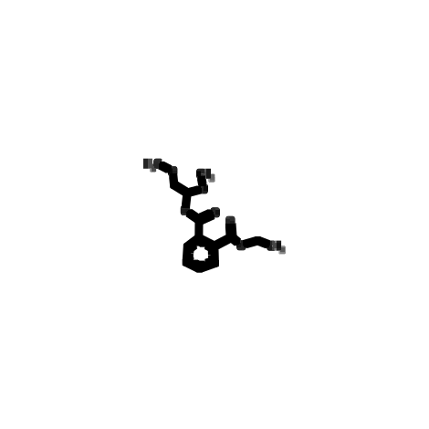 CCOC(=O)c1ccccc1C(=O)OC(COC)OC